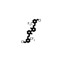 Cc1c(/C=C/c2cc(CCl)ccc2C(F)(F)F)cccc1-c1cccc(/C=C/c2cc(CCl)ccc2C(F)(F)F)c1C